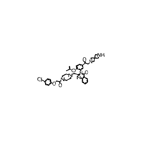 CC(C)Oc1ccc(C(=O)CN2CC3(CNC3)C2)cc1-n1c(CN2CCN(C(=O)COc3ccc(Cl)cc3)CC2)nc2ccccc2c1=O